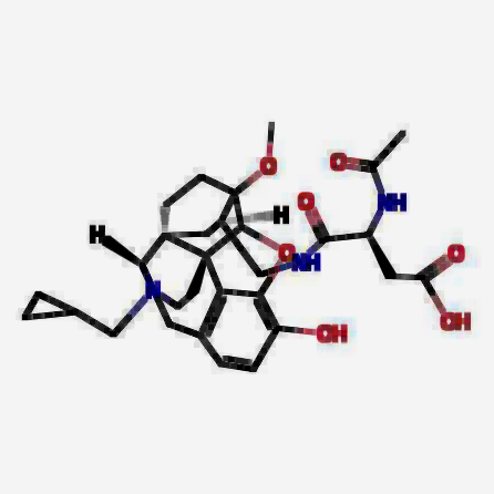 COC12CC[C@@]3(C[C@@H]1CNC(=O)[C@H](CC(=O)O)NC(C)=O)[C@H]1Cc4ccc(O)c5c4[C@@]3(CCN1CC1CC1)C2O5